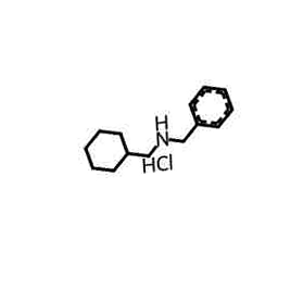 Cl.c1ccc(CNCC2CCCCC2)cc1